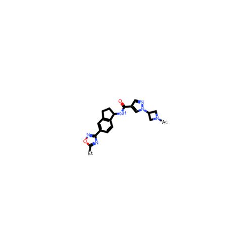 CCc1nc(-c2ccc3c(c2)CCC3NC(=O)c2cnn(C3CN(C(C)=O)C3)c2)no1